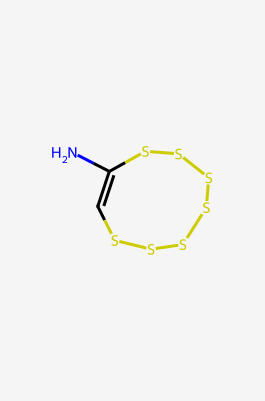 NC1=CSSSSSSS1